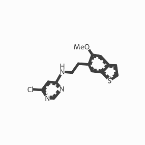 COc1cc2ccsc2cc1CCNc1cc(Cl)ncn1